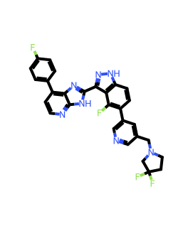 Fc1ccc(-c2ccnc3[nH]c(-c4n[nH]c5ccc(-c6cncc(CN7CCC(F)(F)C7)c6)c(F)c45)nc23)cc1